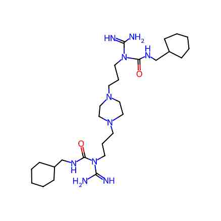 N=C(N)N(CCCN1CCN(CCCN(C(=N)N)C(=O)NCC2CCCCC2)CC1)C(=O)NCC1CCCCC1